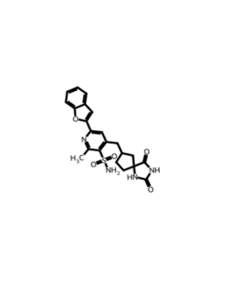 Cc1nc(-c2cc3ccccc3o2)cc(CC2CCC3(C2)NC(=O)NC3=O)c1S(N)(=O)=O